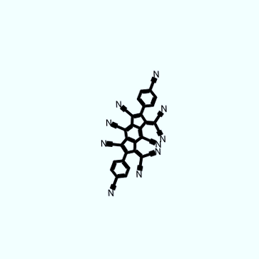 N#CC(C#N)=C1C(c2ccc(C#N)cc2)=C(C#N)c2c(C#N)c3c(c(C#N)c21)C(=C(C#N)C#N)C(c1ccc(C#N)cc1)=C3C#N